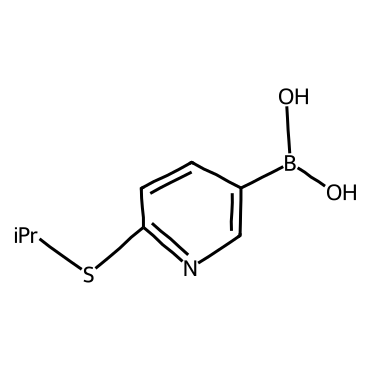 CC(C)Sc1ccc(B(O)O)cn1